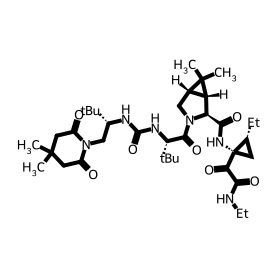 CCNC(=O)C(=O)[C@]1(NC(=O)[C@@H]2[C@@H]3[C@H](CN2C(=O)[C@@H](NC(=O)N[C@H](CN2C(=O)CC(C)(C)CC2=O)C(C)(C)C)C(C)(C)C)C3(C)C)C[C@H]1CC